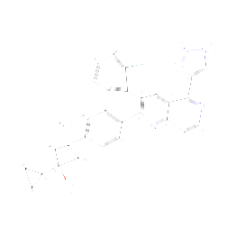 N[C@]1(c2ccc(-c3nc4ccnc(-c5cn[nH]c5)c4cc3-c3ccccc3F)cc2)C[C@](O)(C2CC2)C1